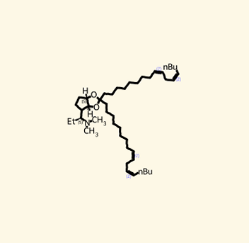 CCCC/C=C\C/C=C\CCCCCCCCC1(CCCCCCCC/C=C\C/C=C\CCCC)O[C@H]2CCC([C@H](CC)N(C)C)[C@H]2O1